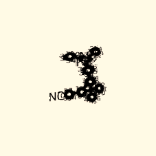 N#Cc1ccc(-c2ccc3c(c2)-c2cc(-c4ccc(-c5cc(-c6ccccc6)nc(-c6ccccc6)n5)cc4)ccc2C3(c2ccccc2)c2ccccc2)cc1